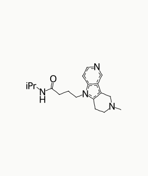 CC(C)NC(=O)CCCn1c2c(c3cnccc31)CN(C)CC2